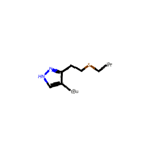 CC(C)CSCCc1n[nH]cc1C(C)(C)C